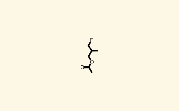 CC(=O)OCC(I)CF